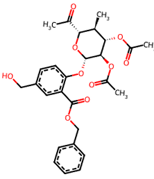 CC(=O)O[C@H]1[C@H](Oc2ccc(CO)cc2C(=O)OCc2ccccc2)O[C@H](C(C)=O)[C@@H](C)[C@@H]1OC(C)=O